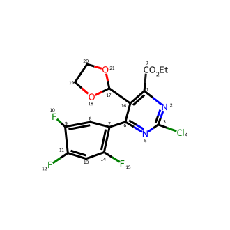 CCOC(=O)c1nc(Cl)nc(-c2cc(F)c(F)cc2F)c1C1OCCO1